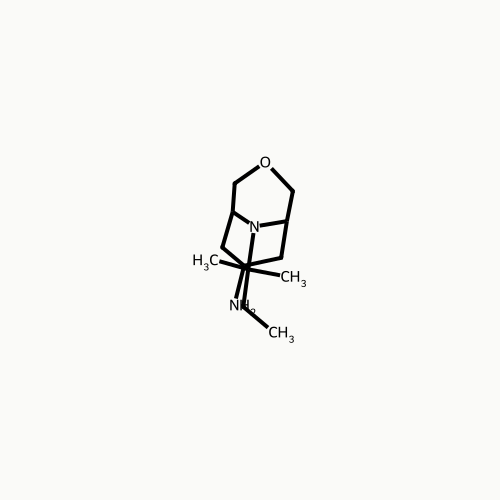 CCC(C)(C)N1C2COCC1CC(N)C2